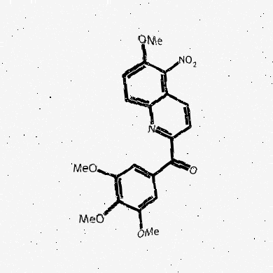 COc1cc(C(=O)c2ccc3c([N+](=O)[O-])c(OC)ccc3n2)cc(OC)c1OC